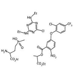 CCNc1nc(Cl)nc(NCC)n1.CCOC(=O)C(C)OC(=O)c1cc(Oc2ccc(C(F)(F)F)cc2Cl)ccc1[N+](=O)[O-].CP(=O)(O)CCC(N)C(=O)O